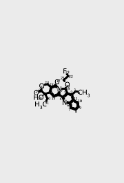 CCc1c2c(nc3ccccc13)-c1cc3c(c(=O)n1C2OCCF)COC(=O)[C@]3(O)CC